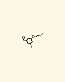 CCCCOc1cc(I)cc(C=O)c1